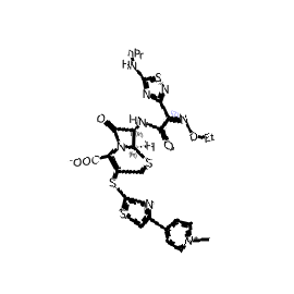 CCCNc1nc(/C(=N/OCC)C(=O)N[C@@H]2C(=O)N3C(C(=O)[O-])=C(Sc4nc(-c5cc[n+](C)cc5)cs4)CS[C@H]23)ns1